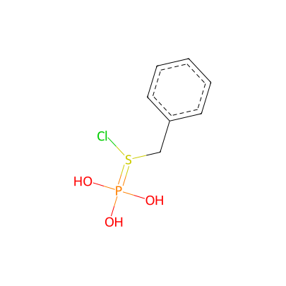 OP(O)(O)=S(Cl)Cc1ccccc1